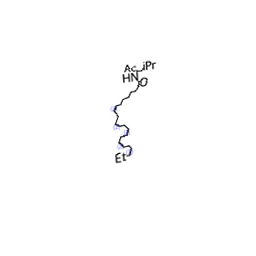 CC/C=C\C/C=C\C/C=C\C/C=C\C/C=C\CCCCCC1OC1NC(CC(C)C)C(C)=O